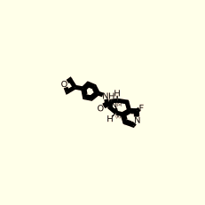 O=C(Nc1ccc(C2COC2)cc1)N1[C@H]2CC[C@@H]1c1ccnc(F)c1C2